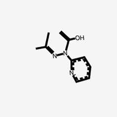 C=C(O)N(N=C(C)C)c1ccccn1